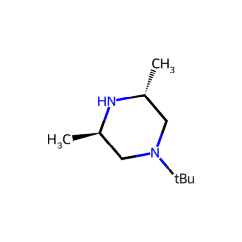 C[C@@H]1CN(C(C)(C)C)C[C@@H](C)N1